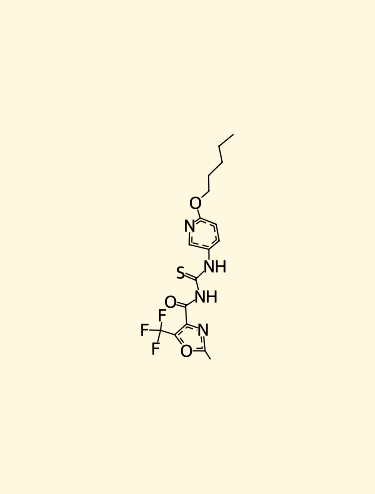 CCCCCOc1ccc(NC(=S)NC(=O)c2nc(C)oc2C(F)(F)F)cn1